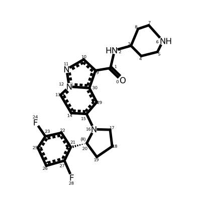 O=C(NC1CCNCC1)c1cnn2ccc(N3CCC[C@@H]3c3cc(F)ccc3F)cc12